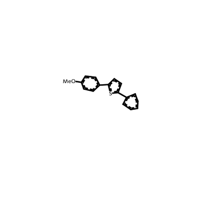 COc1ccc(-c2ccc(-c3ccccc3)s2)cc1